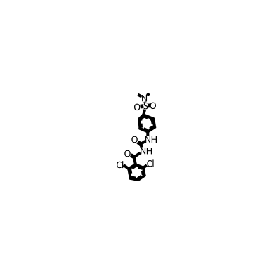 CN(C)S(=O)(=O)c1ccc(NC(=O)NC(=O)c2c(Cl)cccc2Cl)cc1